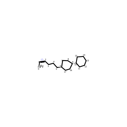 CCC/C=C\CCC[C@H]1CC[C@H](C2CCCCC2)CC1